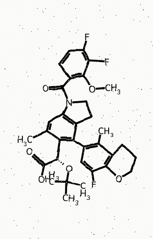 COc1c(C(=O)N2CCc3c2cc(C)c([C@H](OC(C)(C)C)C(=O)O)c3-c2cc(F)c3c(c2C)CCCO3)ccc(F)c1F